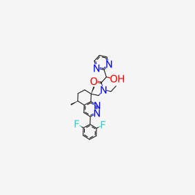 CCN(C[C@@]1(C)CC[C@H](C)c2cc(-c3c(F)cccc3F)nnc21)C(=O)[C@H](O)c1ncccn1